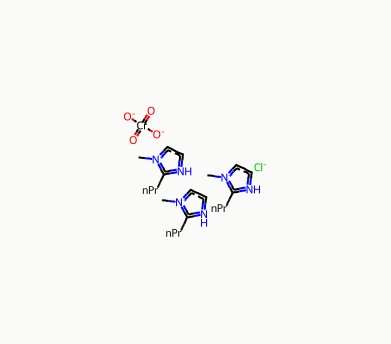 CCCc1[nH]cc[n+]1C.CCCc1[nH]cc[n+]1C.CCCc1[nH]cc[n+]1C.[Cl-].[O]=[Cr](=[O])([O-])[O-]